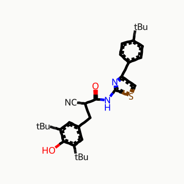 CC(C)(C)c1ccc(-c2csc(NC(=O)C(C#N)Cc3cc(C(C)(C)C)c(O)c(C(C)(C)C)c3)n2)cc1